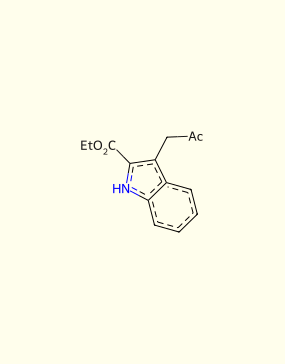 CCOC(=O)c1[nH]c2ccccc2c1CC(C)=O